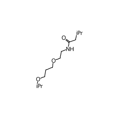 CC(C)CC(=O)NCCOCCCOC(C)C